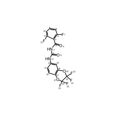 O=C(NC(=O)c1c(F)cccc1F)Nc1ccc2c(c1)OC(F)(F)C(F)(F)O2